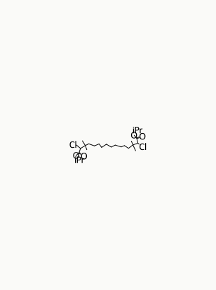 CC(C)OC(=O)C(Cl)C(C)(C)CCCCCCCCCCC(C)(C)C(Cl)C(=O)OC(C)C